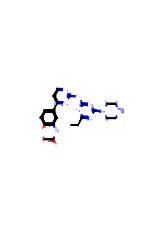 CCc1nc(Nc2nccc(-c3ccc4c(c3)NC(=O)CO4)n2)nc(N2CCNCC2)n1